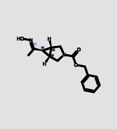 C/C(=N\O)[C@H]1[C@@H]2CN(C(=O)OCc3ccccc3)C[C@@H]21